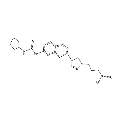 CN(C)CCCN1CC(c2cnc3ccc(NC(=S)NC4CCCC4)nc3c2)C=N1